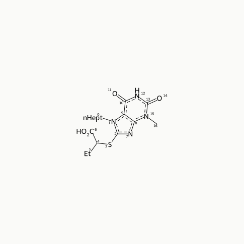 CCCCCCCn1c(SC(CC)C(=O)O)nc2c1c(=O)[nH]c(=O)n2C